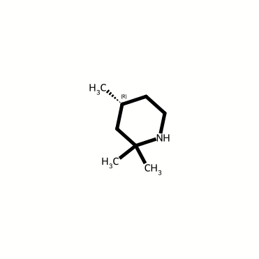 C[C@@H]1CCNC(C)(C)C1